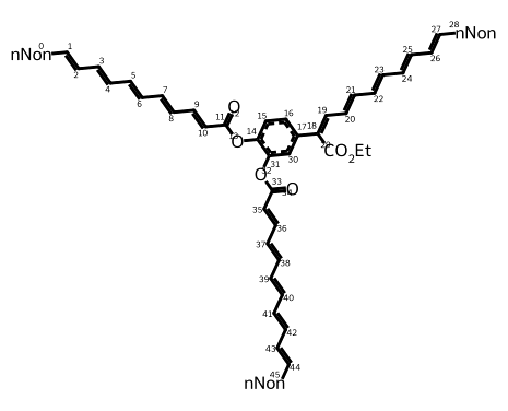 CCCCCCCCCC=CC=CC=CC=CC=CC(=O)Oc1ccc(C(=CC=CC=CC=CC=CCCCCCCCCC)C(=O)OCC)cc1OC(=O)C=CC=CC=CC=CC=CCCCCCCCCC